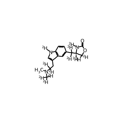 [2H]N1C(=O)OC([2H])([2H])[C@]1([2H])C([2H])([2H])c1ccc2c(c1)c(CC([2H])([2H])N(C)C([2H])([2H])[2H])cn2[2H]